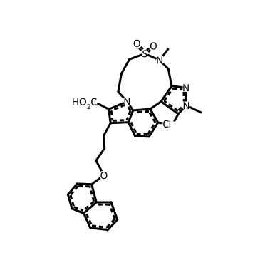 Cc1c2c(nn1C)CN(C)S(=O)(=O)CCCn1c(C(=O)O)c(CCCOc3cccc4ccccc34)c3ccc(Cl)c-2c31